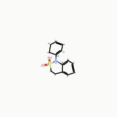 O=S1(=O)CCc2ccccc2N1C1=CC=CCC1